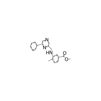 COC(=O)c1ccc(C)c(NCc2cncc(-c3ccccc3)n2)c1